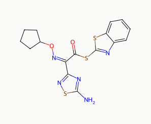 Nc1nc(/C(=N/OC2CCCC2)C(=O)Sc2nc3ccccc3s2)ns1